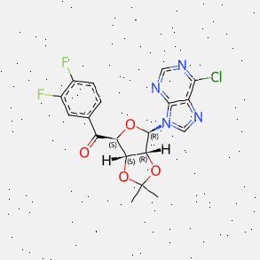 CC1(C)O[C@@H]2[C@H](O1)[C@@H](C(=O)c1ccc(F)c(F)c1)O[C@H]2n1cnc2c(Cl)ncnc21